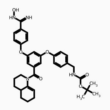 CC(C)(C)OC(=O)NCc1ccc(Oc2cc(Oc3ccc(C(=N)NO)cc3)cc(C(=O)N3CCCC4CCCC=C43)c2)cc1